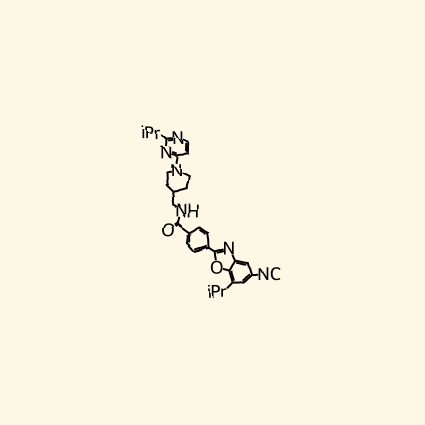 [C-]#[N+]c1cc(C(C)C)c2oc(-c3ccc(C(=O)NCC4CCN(c5ccnc(C(C)C)n5)CC4)cc3)nc2c1